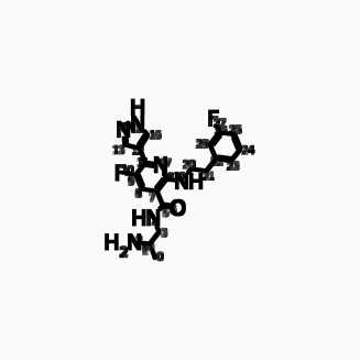 C[C@@H](N)CNC(=O)c1cc(F)c(-c2cn[nH]c2)nc1NCCc1cccc(F)c1